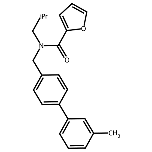 Cc1cccc(-c2ccc(CN(CC(C)C)C(=O)c3ccco3)cc2)c1